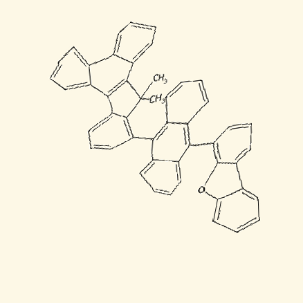 CC1(C)c2c(-c3c4ccccc4c(-c4cccc5c4oc4ccccc45)c4ccccc34)cccc2-c2c1c1ccccc1c1ccccc21